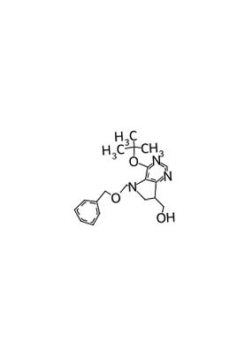 CC(C)(C)Oc1ncnc2c1N(COCc1ccccc1)CC2CO